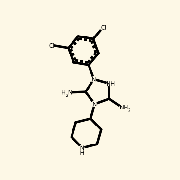 NC1NN(c2cc(Cl)cc(Cl)c2)C(N)N1C1CCNCC1